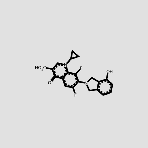 O=C(O)c1cn(C2CC2)c2c(F)c(N3Cc4cccc(O)c4C3)c(F)cc2c1=O